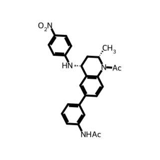 CC(=O)Nc1cccc(-c2ccc3c(c2)[C@H](Nc2ccc([N+](=O)[O-])cc2)C[C@H](C)N3C(C)=O)c1